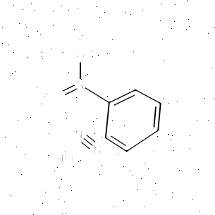 Cl.N#N.O=[N+]([O-])c1ccccc1